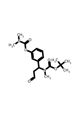 CN(C)C(=O)Oc1cccc(C(CC=O)N(C)C(=O)OC(C)(C)C)c1